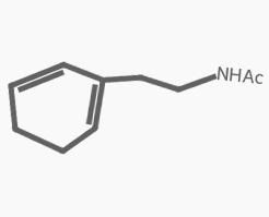 CC(=O)NCCC1=CCCC=C1